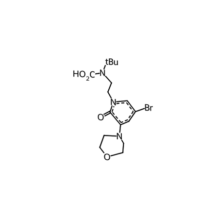 CC(C)(C)N(CCn1cc(Br)cc(N2CCOCC2)c1=O)C(=O)O